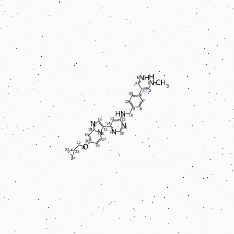 CN/C=C(\C=N)c1ccc(CNc2cc(-c3cnc4cc(OCC5CC5)ccn34)ncn2)cc1